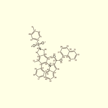 Cc1ccc(S(=O)(=O)N2Cc3c(C)c(-c4ccccc4)c(-n4c(C(=O)Oc5cccc6ccccc56)cc5ccccc54)c(C)c3C2)cc1